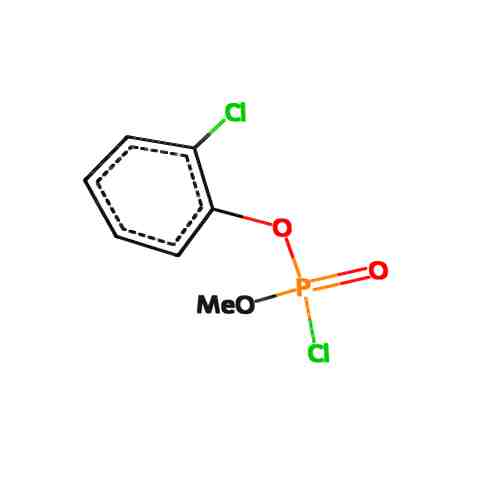 COP(=O)(Cl)Oc1ccccc1Cl